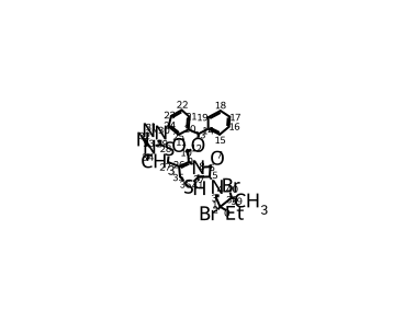 CCC(Br)(C=N[C@@H]1C(=O)N2C(C(=O)OC(c3ccccc3)c3ccccc3)=C(CSc3nnnn3C)CS[C@@H]12)C(C)Br